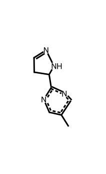 Cc1cnc(C2CC=NN2)nc1